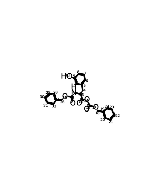 O=C(N[C@@H](Cc1cccc(O)c1)C(=O)OC(=O)OCc1ccccc1)OCc1ccccc1